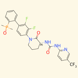 CP(C)(=O)c1ccccc1-c1ccc(N2CCC[C@@H](NC(=O)Nc3ccc(C(F)(F)F)cn3)C2=O)c(F)c1F